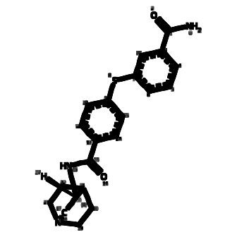 NC(=O)c1cccc(Sc2ccc(C(=O)N[C@H]3CN4CCC3CC4)cc2)c1